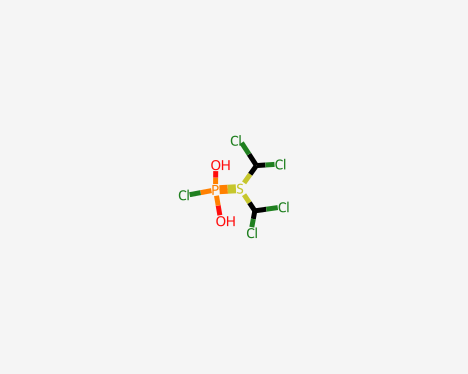 OP(O)(Cl)=S(C(Cl)Cl)C(Cl)Cl